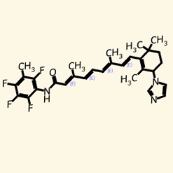 CC1=C(/C=C/C(C)=C/C=C/C(C)=C/C(=O)Nc2c(F)c(C)c(F)c(F)c2F)C(C)(C)CCC1n1ccnc1